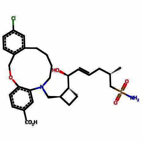 C[C@@H](C/C=C/[C@H](O)[C@@H]1CC[C@H]1CN1CCCCc2cc(Cl)ccc2COc2ccc(C(=O)O)cc21)CS(N)(=O)=O